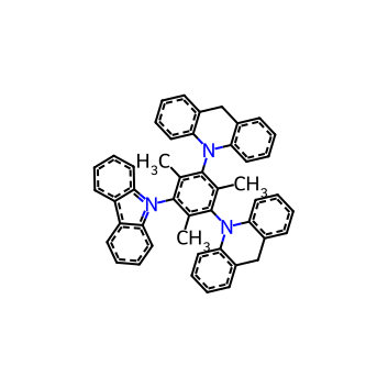 Cc1c(N2c3ccccc3Cc3ccccc32)c(C)c(-n2c3ccccc3c3ccccc32)c(C)c1N1c2ccccc2Cc2ccccc21